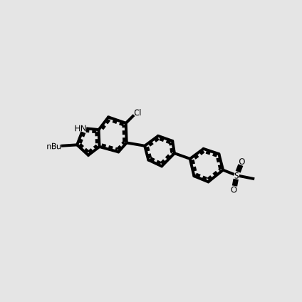 CCCCc1cc2cc(-c3ccc(-c4ccc(S(C)(=O)=O)cc4)cc3)c(Cl)cc2[nH]1